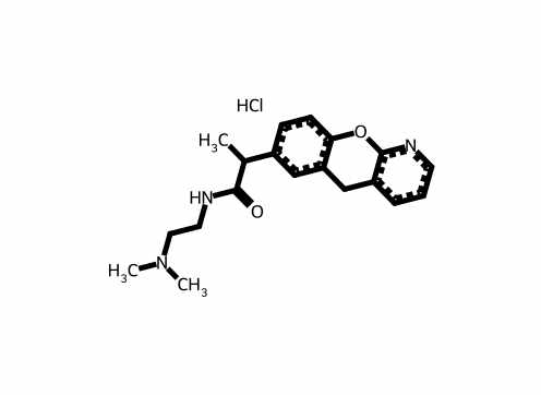 CC(C(=O)NCCN(C)C)c1ccc2c(c1)Cc1cccnc1O2.Cl